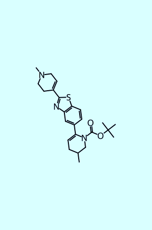 CC1CC=C(c2ccc3sc(C4=CCN(C)CC4)nc3c2)N(C(=O)OC(C)(C)C)C1